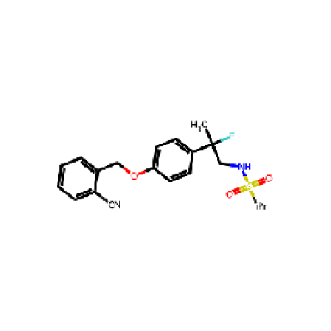 CC(C)S(=O)(=O)NCC(C)(F)c1ccc(OCc2ccccc2C#N)cc1